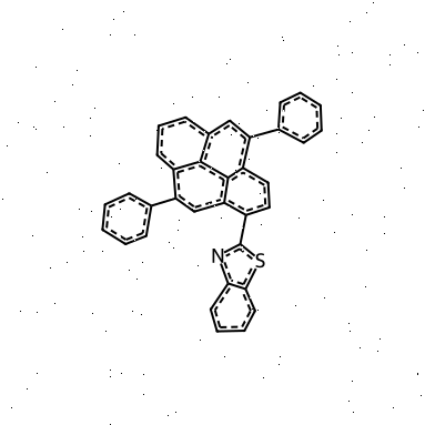 c1ccc(-c2cc3c(-c4nc5ccccc5s4)ccc4c(-c5ccccc5)cc5cccc2c5c43)cc1